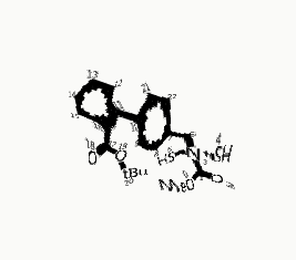 COC(=O)[N+](S)(S)Cc1ccc(-c2ccccc2C(=O)OC(C)(C)C)cc1